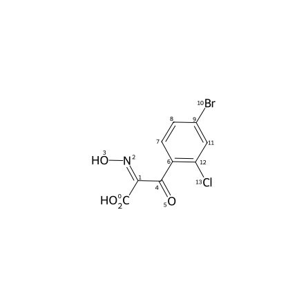 O=C(O)C(=NO)C(=O)c1ccc(Br)cc1Cl